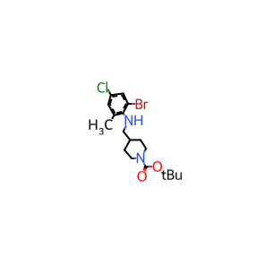 Cc1cc(Cl)cc(Br)c1NCC1CCN(C(=O)OC(C)(C)C)CC1